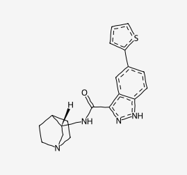 O=C(N[C@@H]1CN2CCC1CC2)c1n[nH]c2ccc(-c3cccs3)cc12